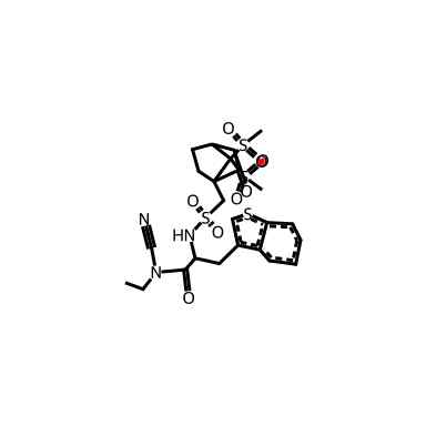 CCN(C#N)C(=O)C(Cc1csc2ccccc12)NS(=O)(=O)CC12CCC(CC1=O)C2(S(C)(=O)=O)S(C)(=O)=O